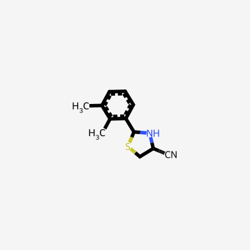 Cc1cccc(C2NC(C#N)CS2)c1C